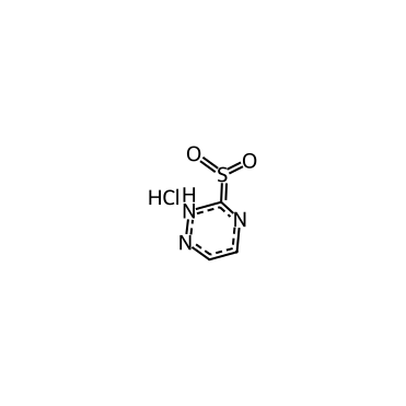 Cl.O=S(=O)=c1nccn[nH]1